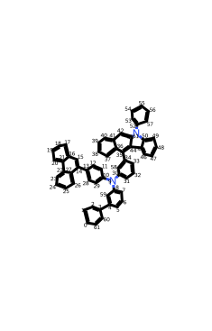 c1ccc(-c2cccc(N(c3ccc(-c4cc5ccccc5c5ccccc45)cc3)c3cccc(-c4c5ccccc5cc5c4c4ccccc4n5-c4ccccc4)c3)c2)cc1